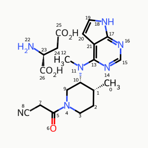 C[C@@H]1CCN(C(=O)CC#N)C[C@@H]1N(C)c1ncnc2[nH]ccc12.N[C@@H](CC(=O)O)C(=O)O